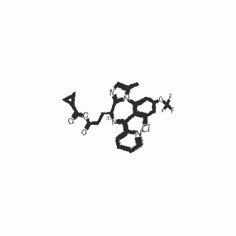 Cc1cnc2n1-c1cc(OC(F)(F)F)cc(Cl)c1C(c1ccccn1)=N[C@H]2CCC(=O)OC(=O)C1CC1